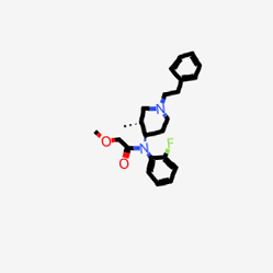 COCC(=O)N(c1ccccc1F)[C@H]1CCN(CCc2ccccc2)C[C@H]1C